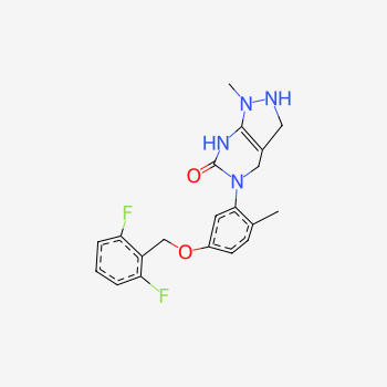 Cc1ccc(OCc2c(F)cccc2F)cc1N1CC2=C(NC1=O)N(C)NC2